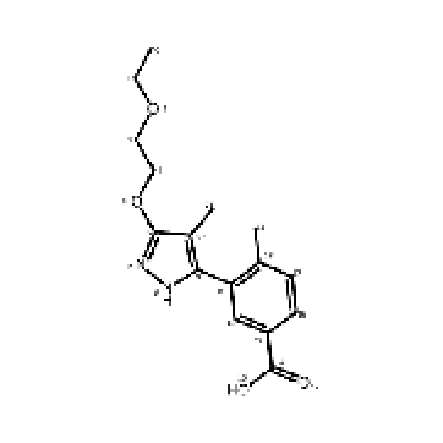 CCOCCOc1n[nH]c(-c2cc(C(=O)O)ccc2C)c1C